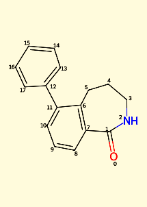 O=C1NCCCc2c1cccc2-c1ccccc1